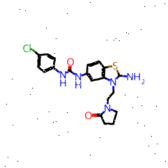 NC1Sc2ccc(NC(=O)Nc3ccc(Cl)cc3)cc2N1CCN1CCCC1=O